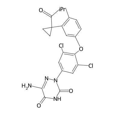 Cc1ccc(Oc2c(Cl)cc(-n3nc(N)c(=O)[nH]c3=O)cc2Cl)cc1C1(C(=O)C(C)C)CC1